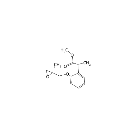 COC(=O)C(C)c1ccccc1OC[C@]1(C)CO1